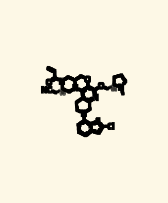 C=CC(=O)N1CC2COc3c(OC[C@@H]4CCCN4C)nc4c(c3N2C[C@@H]1CC#N)CCN(c1cccc2cc(Cl)sc12)C4